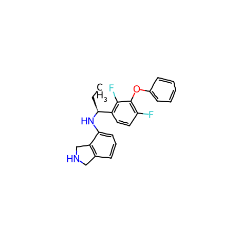 CC[C@H](Nc1cccc2c1CNC2)c1ccc(F)c(Oc2ccccc2)c1F